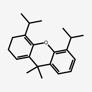 CC(C)C1=C2Oc3c(C(C)C)cccc3C(C)(C)C2=CCC1